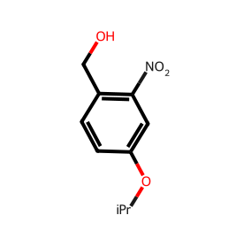 CC(C)Oc1ccc(CO)c([N+](=O)[O-])c1